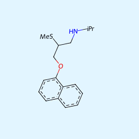 CSC(CNC(C)C)COc1cccc2ccccc12